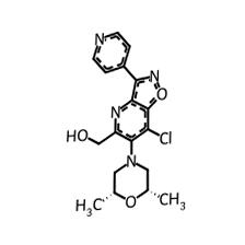 C[C@@H]1CN(c2c(CO)nc3c(-c4ccncc4)noc3c2Cl)C[C@H](C)O1